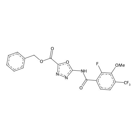 COc1c(C(F)(F)F)ccc(C(=O)Nc2nnc(C(=O)OCc3ccccc3)o2)c1F